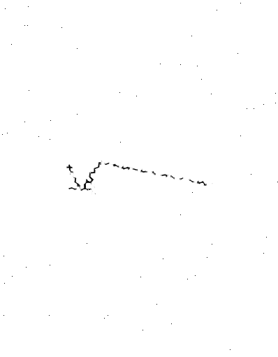 CCCN(CCCNC(=O)CC(C)(C)C)C(=O)C1=Cc2sc(CCCCCN(C)CCOCCOCCOCCOCCOCCOCCOCCOCCOCCOCCC(=O)O)cc2N=C(N)C1